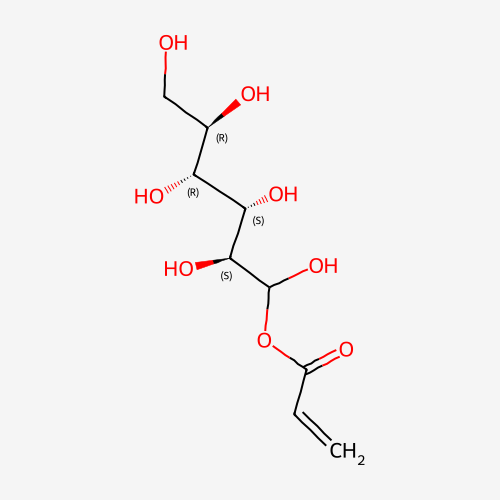 C=CC(=O)OC(O)[C@@H](O)[C@@H](O)[C@H](O)[C@H](O)CO